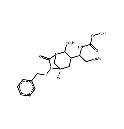 COCC(NC(=O)OC(C)(C)C)C1C[C@@H]2CN(C(=O)N2OCc2ccccc2)C1C(=O)O